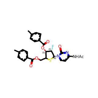 CC(=O)Nc1ccn([C@@H]2SC(COC(=O)c3ccc(C)cc3)[C@@H](OC(=O)c3ccc(C)cc3)[C@@H]2F)c(=O)n1